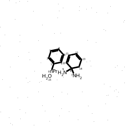 CCCc1ccccc1.NC1(N)C=CC=CC1.O